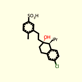 Cc1ccc(S(=O)(=O)O)cc1CC[C@]1(O)CCc2cc(Cl)ccc2[C@@H]1C(C)C